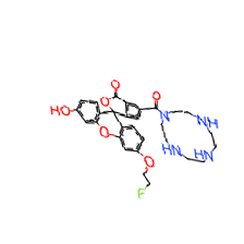 O=C1OC2(c3ccc(O)cc3Oc3cc(OCCF)ccc32)c2ccc(C(=O)N3CCNCCNCCNCC3)cc21